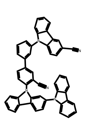 N#Cc1ccc2c(c1)c1ccccc1n2-c1cccc(-c2ccc(-n3c4ccccc4c4ccc(-n5c6ccccc6c6ccccc65)cc43)c(C#N)c2)c1